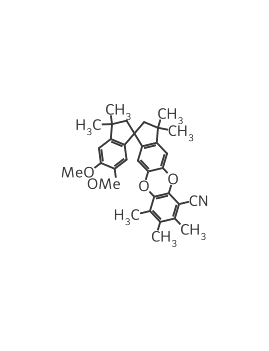 COc1cc2c(cc1OC)C1(CC2(C)C)CC(C)(C)c2cc3c(cc21)Oc1c(C)c(C)c(C)c(C#N)c1O3